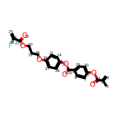 C=C(C)C(=O)Oc1ccc(C(=O)Oc2ccc(OCCCOC(=O)C(=C)F)cc2)cc1